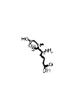 CN(CB(O)O)C(=S)[C@@H](N)CCCC(=O)O